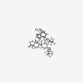 C=C1CC[C@@]23CC2(Cn2cnc4c(N)ncnc42)[C@@H]([C@@]2(C)CCC(O[Si](C)(C)C(C)(C)C)C[C@@H]2CO[Si](C)(C)C(C)(C)C)CC[C@]13C